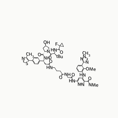 CNC(=O)c1nnc(NC(=O)CNC(=O)CCCNC(=O)C[C@H](NC(=O)[C@@H]2C[C@@H](O)CN2C(=O)[C@@H](NC(=O)C2(F)CC2)C(C)(C)C)c2ccc(-c3scnc3C)cc2)cc1Nc1cccc(-c2ncn(C)n2)c1OC